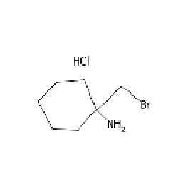 Cl.NC1(CBr)CCCCC1